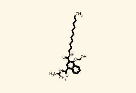 CCCCCCCCCCCCNC(=O)c1cc(C(=O)NC(C)C)c2ccccc2c1OCO